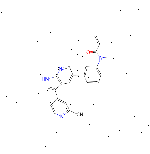 C=CC(=O)N(C)c1cccc(-c2cnc3[nH]cc(-c4ccnc(C#N)c4)c3c2)c1